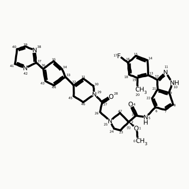 CO[C@@]1(C(=O)Nc2ccc3[nH]nc(-c4ccc(F)cc4C)c3c2)CCN(CC(=O)N2CC=C(c3ccc(-c4ncccn4)cc3)CC2)C1